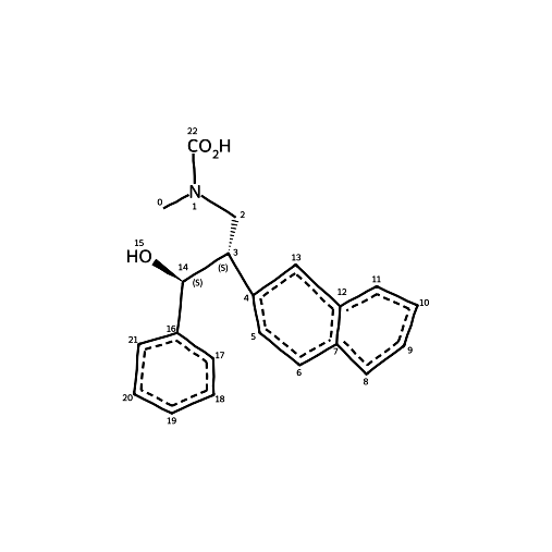 CN(C[C@H](c1ccc2ccccc2c1)[C@H](O)c1ccccc1)C(=O)O